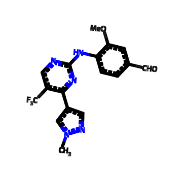 COc1cc(C=O)ccc1Nc1ncc(C(F)(F)F)c(-c2cnn(C)c2)n1